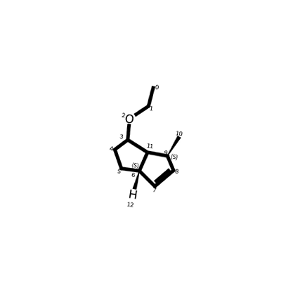 CCOC1CC[C@H]2C=C[C@H](C)C12